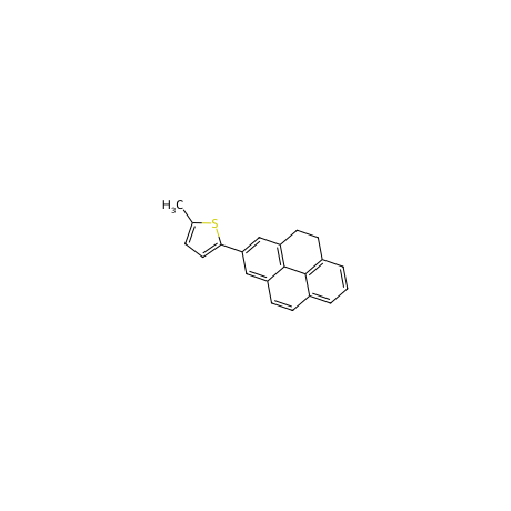 Cc1ccc(-c2cc3c4c(ccc5cccc(c54)CC3)c2)s1